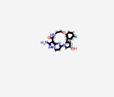 Nc1nn2ccc3nc2c1C(=O)NCCOc1ccc(F)cc1[C@H]1C[C@@H](O)CN31